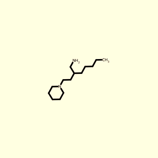 CCCCCC(CN)CCN1CCCCC1